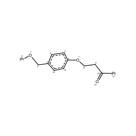 CC(C)OCc1ccc(OCCC(=O)C(C)C)cc1